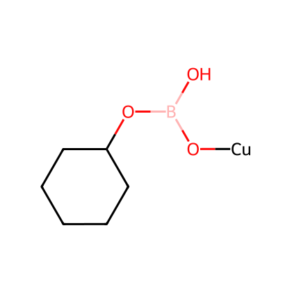 OB([O][Cu])OC1CCCCC1